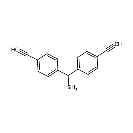 C#Cc1ccc(C([SiH3])c2ccc(C#C)cc2)cc1